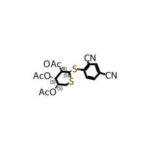 CC(=O)O[C@@H]1[C@@H](OC(C)=O)[C@H](Sc2ccc(C#N)cc2C#N)SC[C@H]1OC(C)=O